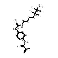 C=C(C)C(=O)Oc1ccc(NC(=O)OCCCCC(F)(F)C(F)(F)S(=O)(=O)O)cc1